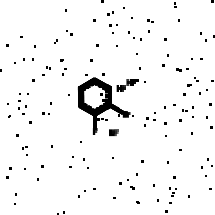 F.F.F.Fc1ccccc1Br